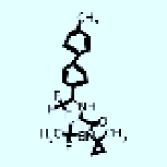 Cc1ccc(-c2ccc([C@H](N[C@@H](CC(C)(C)F)C(=O)NC3(C)CC3)C(F)(F)F)cc2)cc1